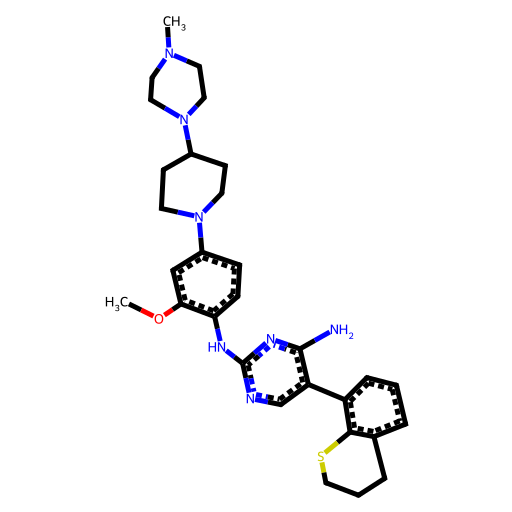 COc1cc(N2CCC(N3CCN(C)CC3)CC2)ccc1Nc1ncc(-c2cccc3c2SCCC3)c(N)n1